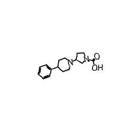 O=C(O)N1CCC(N2CCC(c3ccccc3)CC2)C1